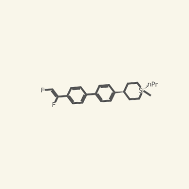 CCC[Si@]1(C)CC[C@@H](c2ccc(-c3ccc(C(F)=CF)cc3)cc2)CC1